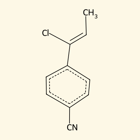 CC=C(Cl)c1ccc(C#N)cc1